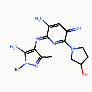 CCn1nc(C)c(/N=C2\N=C(N3CCC(O)C3)C(=N)C=C2N)c1N